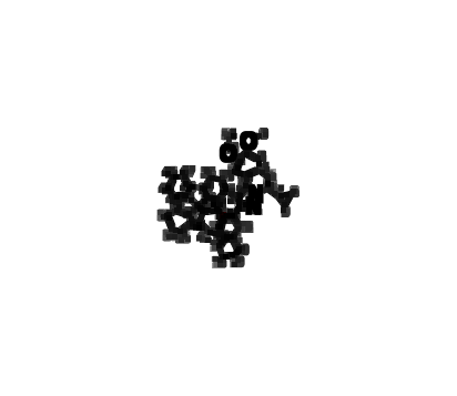 COc1cc2cc(C3CC3)n3nc(-c4ccc5ccccc5c4)c(-c4ccc5c(c4)C(c4ccccc4)(c4ccccc4)c4ccccc4-5)c3c2cc1OC